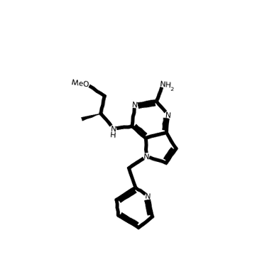 COC[C@H](C)Nc1nc(N)nc2ccn(Cc3ccccn3)c12